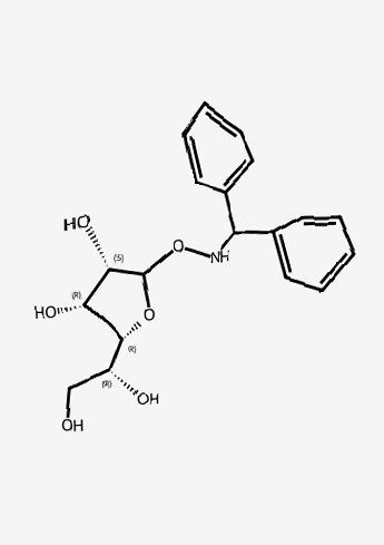 OC[C@@H](O)[C@H]1OC(ONC(c2ccccc2)c2ccccc2)[C@@H](O)[C@H]1O